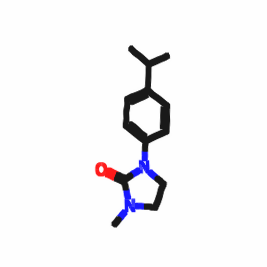 CC(C)c1ccc(N2CCN(C)C2=O)cc1